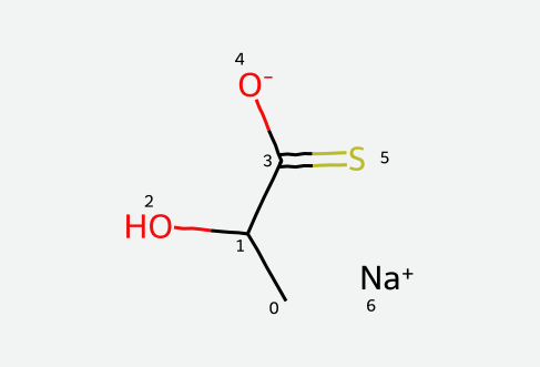 CC(O)C([O-])=S.[Na+]